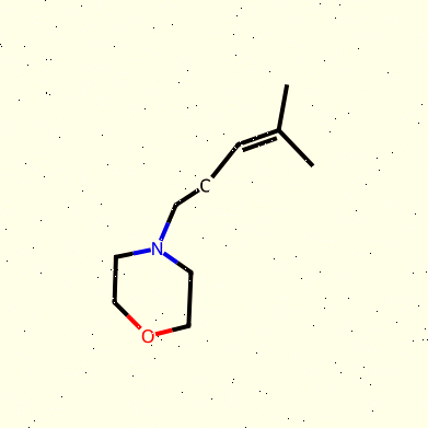 CC(C)=CCCN1CCOCC1